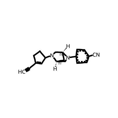 C#CC1=CC(N2C[C@@H]3C[C@H]2CN3c2ccc(C#N)cc2)CC1